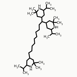 CC(C)C1CC(CCCCCCCCCC(C2CC(C(C)C)NC(C)(C)C2)C2CC(C(C)C)NC(C)(C)C2)CC(C)(C)N1